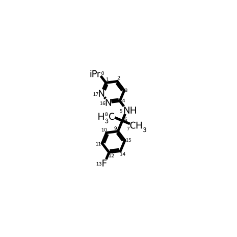 CC(C)c1ccc(NC(C)(C)c2ccc(F)cc2)nn1